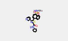 CC(C)(C)NS(=O)(=O)c1ccc(-c2sc(C(=O)NC3CCCCC3)nc2-c2cccnc2)c2ccccc12